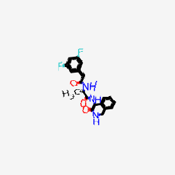 C[C@H](NC(=O)Cc1cc(F)cc(F)c1)C(=O)NC1C(=O)NCc2ccccc21